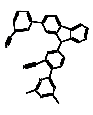 Cc1nc(C)nc(-c2ccc(-n3c4ccccc4c4ccc(-c5cccc(C#N)c5)cc43)cc2C#N)n1